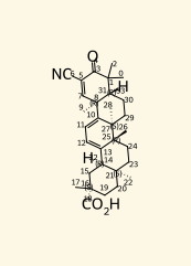 CC1(C)C(=O)C(C#N)=C[C@]2(C)C3=CC=C4[C@@H]5C[C@@](C)(C(=O)O)CC[C@]5(C)CC[C@@]4(C)[C@]3(C)CC[C@@H]12